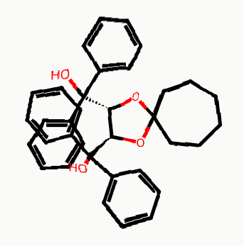 OC(c1ccccc1)(c1ccccc1)[C@@H]1OC2(CCCCCC2)O[C@H]1C(O)(c1ccccc1)c1ccccc1